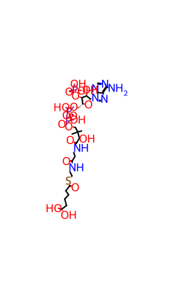 CC(C)(COP(=O)(O)OP(=O)(O)OC[C@H]1O[C@@H](n2cnc3c(N)ncnc32)[C@H](O)[C@@H]1OP(=O)(O)O)C(O)C(=O)NCCC(=O)NCCSC(=O)CCCCC(O)O